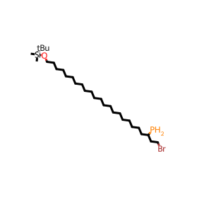 CC(C)(C)[Si](C)(C)OCCCCCCCCCCCCCCCCCCCCCC(P)CCBr